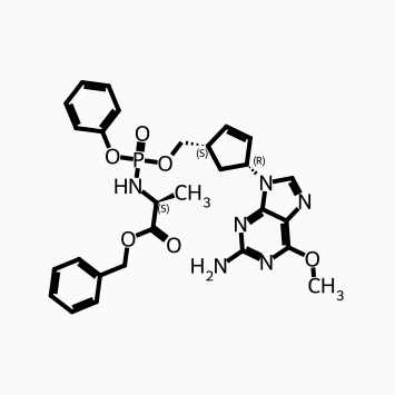 COc1nc(N)nc2c1ncn2[C@H]1C=C[C@@H](COP(=O)(N[C@@H](C)C(=O)OCc2ccccc2)Oc2ccccc2)C1